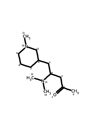 CC(=O)CC(CC1CCCN(C)C1)N(C)C